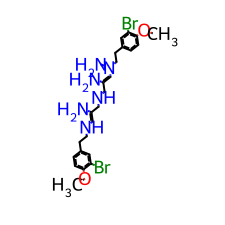 COc1ccc(CCN/C=C(\N)CNC/C(N)=C/N(N)CCc2ccc(OC)c(Br)c2)cc1Br